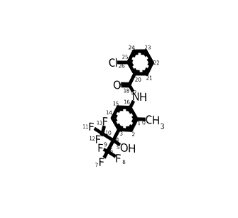 Cc1cc(C(O)(C(F)(F)F)C(F)(F)F)ccc1NC(=O)c1ccccc1Cl